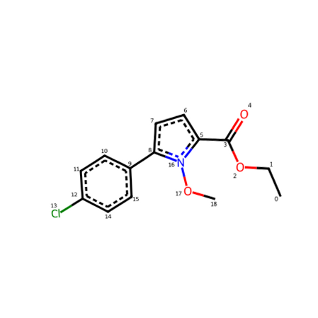 CCOC(=O)c1ccc(-c2ccc(Cl)cc2)n1OC